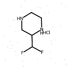 Cl.FC(F)C1CNCCN1